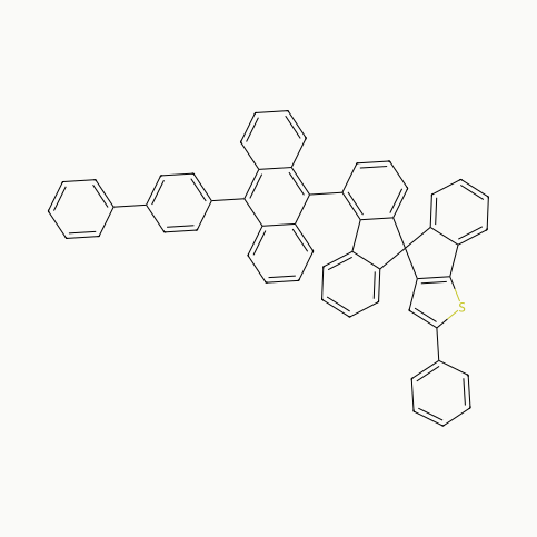 c1ccc(-c2ccc(-c3c4ccccc4c(-c4cccc5c4-c4ccccc4C54c5ccccc5-c5sc(-c6ccccc6)cc54)c4ccccc34)cc2)cc1